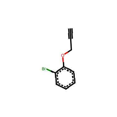 C#CCOc1ccccc1Br